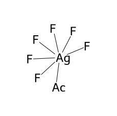 C[C](=O)[Ag]([F])([F])([F])([F])([F])[F]